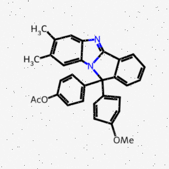 COc1ccc(C2(c3ccc(OC(C)=O)cc3)c3ccccc3-c3nc4cc(C)c(C)cc4n32)cc1